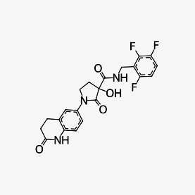 O=C1CCc2cc(N3CCC(O)(C(=O)NCc4c(F)ccc(F)c4F)C3=O)ccc2N1